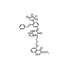 COC(=O)c1c(O)cccc1OCCCCNC(=O)/C(=C/c1ccc(N2CC(=O)NS2(=O)=O)c(OCc2ccccc2)c1)NC(C)=O